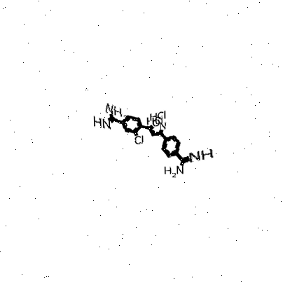 Cl.Cl.N=C(N)c1ccc(-c2cc(-c3ccc(C(=N)N)cc3Cl)on2)cc1